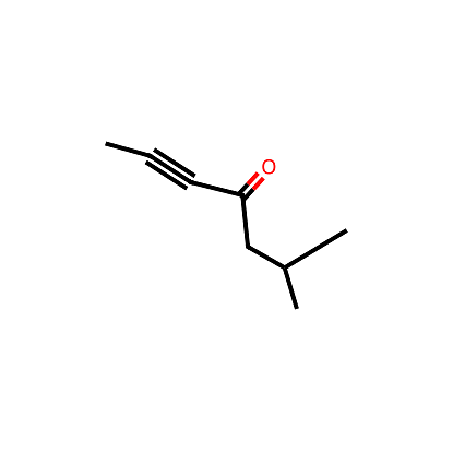 CC#CC(=O)CC(C)C